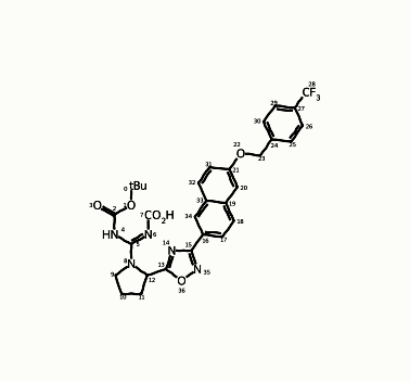 CC(C)(C)OC(=O)NC(=NC(=O)O)N1CCCC1c1nc(-c2ccc3cc(OCc4ccc(C(F)(F)F)cc4)ccc3c2)no1